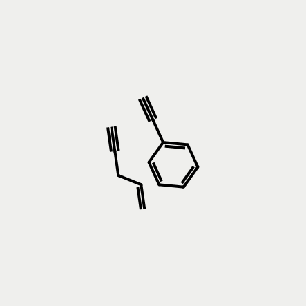 C#CCC=C.C#Cc1ccccc1